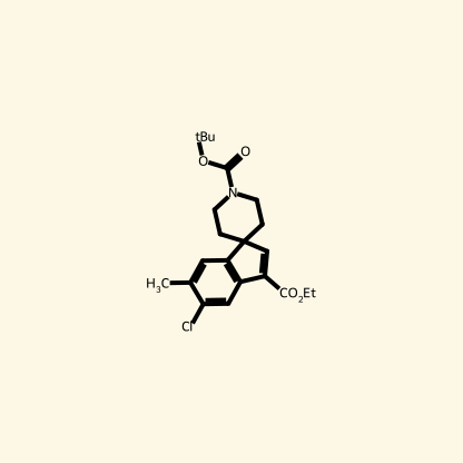 CCOC(=O)C1=CC2(CCN(C(=O)OC(C)(C)C)CC2)c2cc(C)c(Cl)cc21